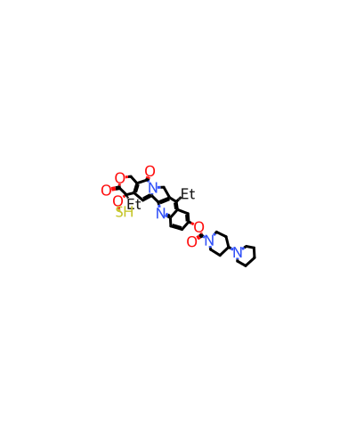 CCc1c2c(nc3ccc(OC(=O)N4CCC(N5CCCCC5)CC4)cc13)-c1cc3c(c(=O)n1C2)COC(=O)[C@@]3(CC)OS